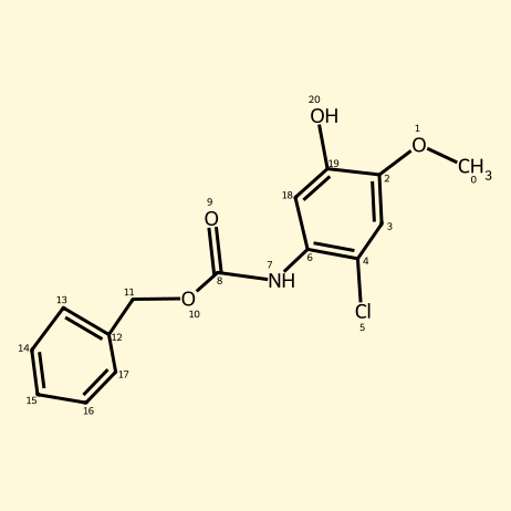 COc1cc(Cl)c(NC(=O)OCc2ccccc2)cc1O